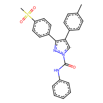 Cc1ccc(-c2[c]n(C(=O)Nc3ccccc3)nc2-c2ccc(S(C)(=O)=O)cc2)cc1